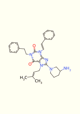 CC(C)=CCn1c(N2CCCC(N)C2)nc2c1c(=O)n(CCc1ccccc1)c(=O)n2/C=C/c1ccccc1